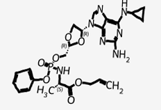 C=CCOC(=O)[C@H](C)NP(=O)(OC[C@@H]1OC[C@H](n2cnc3c(NC4CC4)nc(N)nc32)O1)Oc1ccccc1